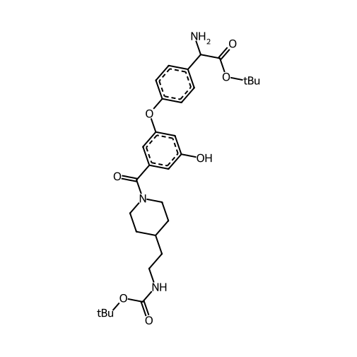 CC(C)(C)OC(=O)NCCC1CCN(C(=O)c2cc(O)cc(Oc3ccc(C(N)C(=O)OC(C)(C)C)cc3)c2)CC1